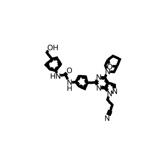 N#CCCn1ncc2c(N3CC4CCC(C3)O4)nc(-c3ccc(NC(=O)Nc4ccc(CO)cc4)cc3)nc21